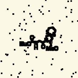 COC[C@@H]1CC2(CN1C(=O)CNC(=O)OCC(C)C)SCCCS2